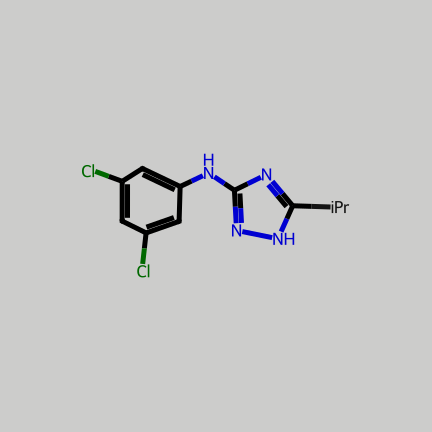 CC(C)c1nc(Nc2cc(Cl)cc(Cl)c2)n[nH]1